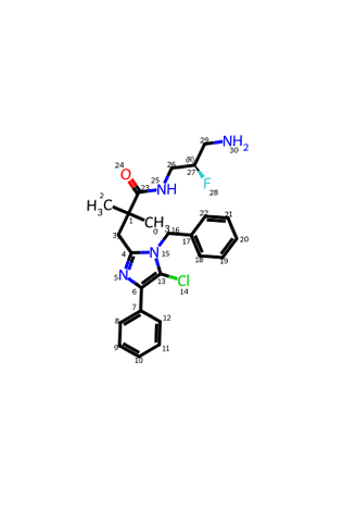 CC(C)([CH]c1nc(-c2ccccc2)c(Cl)n1Cc1ccccc1)C(=O)NC[C@H](F)CN